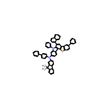 CC1(C)c2ccccc2-c2ccc(N(c3ccc(-c4ccccc4)cc3)c3ccc4c5c6sc7ccc(-c8ccccc8)cc7c6cc(-c6cccc7ccccc67)c5n(-c5ccccc5)c4c3)cc21